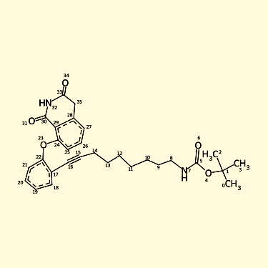 CC(C)(C)OC(=O)NCCCCCCCC#Cc1ccccc1Oc1cccc2c1C(=O)NC(=O)C2